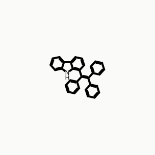 c1ccc(C(=C(c2ccccc2)c2cccc3c2[nH]c2ccccc23)c2ccccc2)cc1